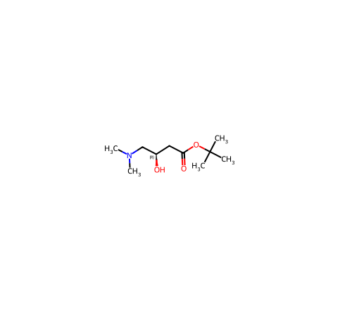 CN(C)C[C@H](O)CC(=O)OC(C)(C)C